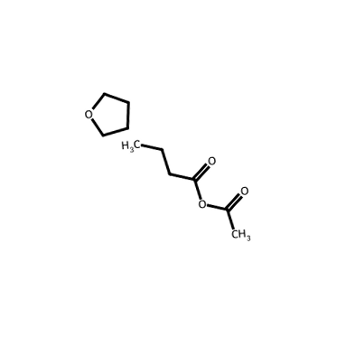 C1CCOC1.CCCC(=O)OC(C)=O